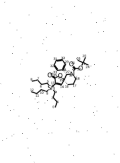 CCC[CH2][Sn]([CH2]CCC)([CH2]CCC)[C]1=C[C@@]2(CCCN(C(=O)OC(C)(C)C)[C@H]2c2ccccc2)OC1=O